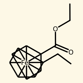 CCOC(=O)[C]12[CH]3[CH]4[CH]5[CH]1[Fe]45321678[CH]2[CH]1[CH]6[C]7(CC)[CH]28